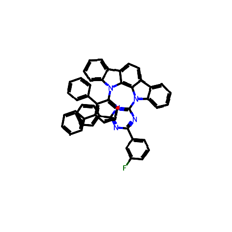 Fc1cccc(-c2nc(-c3ccccc3)nc(-n3c4ccccc4c4ccc5c6ccccc6n(-c6cccc(-c7ccccc7)c6-c6ccccc6)c5c43)n2)c1